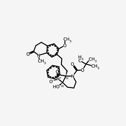 COc1cc2c(cc1CCC[C@@]1(c3ccccc3)N(C(=O)OC(C)(C)C)CCC[C@]1(O)[N+](=O)[O-])N(C)C(=O)CC2